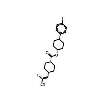 N#CC(F)=C[C@H]1CC[C@H](C(=O)O[C@H]2CC[C@H](c3ccc(F)cc3)CC2)CC1